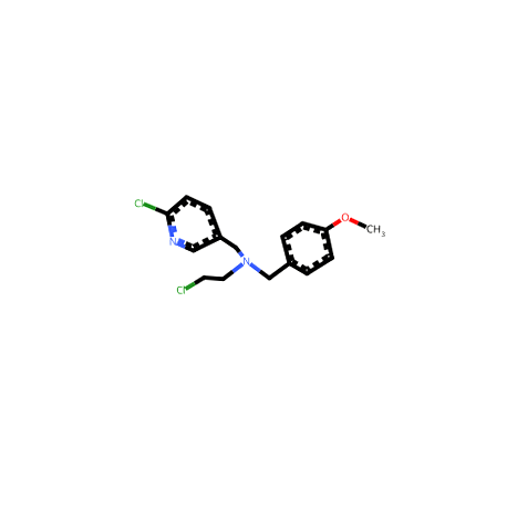 COc1ccc(CN(CCCl)Cc2ccc(Cl)nc2)cc1